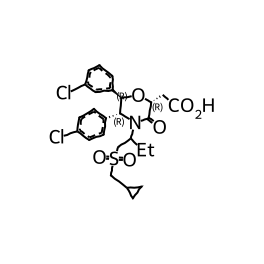 CCC(CS(=O)(=O)CC1CC1)N1C(=O)[C@@H](CC(=O)O)O[C@H](c2cccc(Cl)c2)[C@H]1c1ccc(Cl)cc1